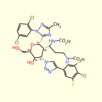 Cc1nc([C@H]2O[C@H](CO)[C@H](O)[C@@H](n3cc(-c4cc(F)c(Cl)c(F)c4)nn3)[C@H]2C(CCNC(=O)O)NC(=O)O)n(-c2cc(Cl)ccc2Cl)n1